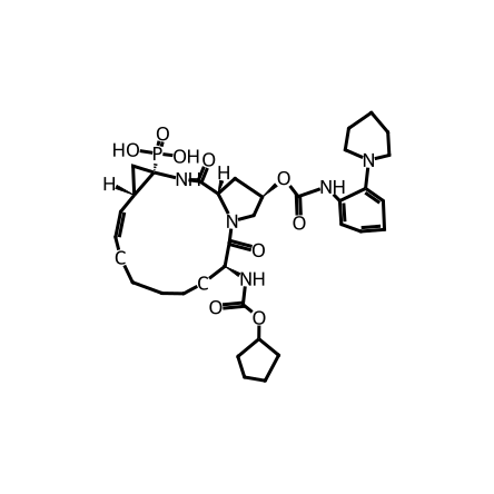 O=C(N[C@H]1CCCCC/C=C\[C@@H]2C[C@@]2(P(=O)(O)O)NC(=O)[C@@H]2C[C@@H](OC(=O)Nc3ccccc3N3CCCCC3)CN2C1=O)OC1CCCC1